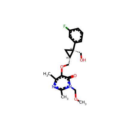 COCn1c(C)nc(C)c(OC[C@@H]2C[C@@]2(CO)c2cccc(F)c2)c1=O